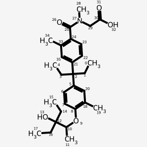 CCC(CC)(c1ccc(OC(C)C(O)(CC)CC)c(C)c1)c1ccc(C(=O)N(C)CC(=O)O)c(C)c1